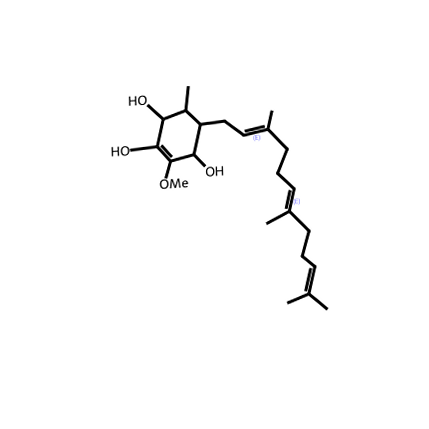 COC1=C(O)C(O)C(C)C(C/C=C(\C)CC/C=C(\C)CCC=C(C)C)C1O